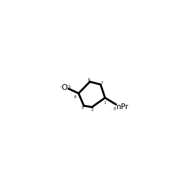 CCCC1CCC([O])CC1